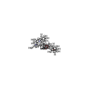 C=C1C[C@@]23CCC4[C@](C)(C(=O)O[C@H](O)/C(O[C@@H]5OC(C)[C@H](O)C(O)C5O)=C(\O[C@H](O)/C(O)=C(\O)[C@H](O)CCO)[C@H](O)CCO)CCC[C@@]4(O[C@H]4C(O)[C@@H](O)C(C)O[C@H]4OC)[C@@H]2CC[C@]1(OCC(O[C@@H]1OC(CO)[C@@H](O)C(O)C1O)[C@H](O)C(O)CO)C3